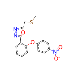 CSCc1nnc(-c2ccccc2Oc2ccc([N+](=O)[O-])cc2)o1